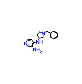 Nc1cnccc1NC1CCN(Cc2ccccc2)C1